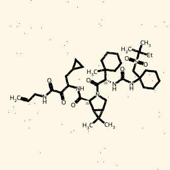 C=CCNC(=O)C(=O)C(CC1CC1)NC(=O)[C@@H]1C2C(CN1C(=O)[C@@H](NC(=O)NC1(CS(=O)(=O)C(C)(C)CC)CCCCC1)C1(C)CCCCC1)C2(C)C